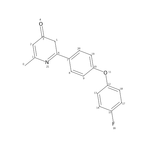 CC1=CC(=O)CC(c2ccc(Oc3ccc(F)cc3)cc2)=N1